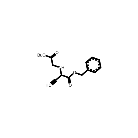 C#CC(NCC(=O)OCC(C)C)C(=O)OCc1ccccc1